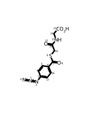 [N-]=[N+]=Nc1ccc(C(=O)SCC(=O)NCC(=O)O)cc1